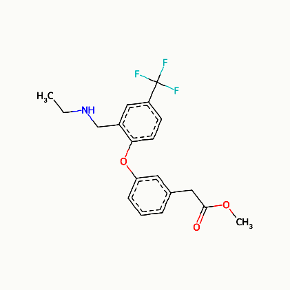 CCNCc1cc(C(F)(F)F)ccc1Oc1cccc(CC(=O)OC)c1